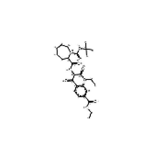 CCOC(=O)c1ccc(C(=O)C(OC(=O)C2CCCCCN2C(=O)OC(C)(C)C)C(=O)OCC)cc1